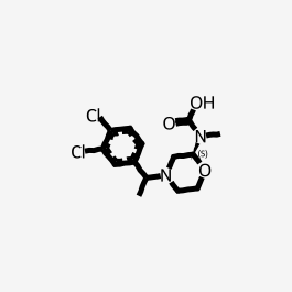 CC(c1ccc(Cl)c(Cl)c1)N1CCO[C@H](N(C)C(=O)O)C1